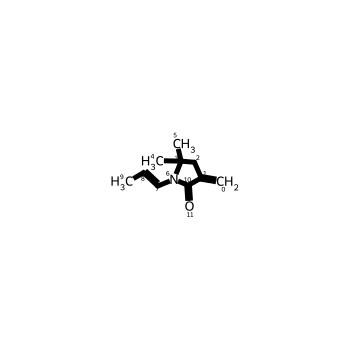 C=C1CC(C)(C)N(C=CC)C1=O